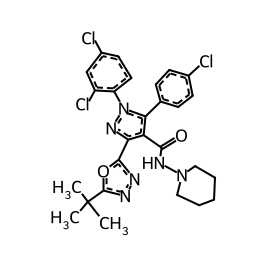 CC(C)(C)c1nnc(-c2nn(-c3ccc(Cl)cc3Cl)c(-c3ccc(Cl)cc3)c2C(=O)NN2CCCCC2)o1